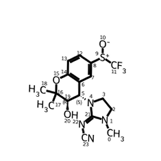 CN1CCN([C@H]2c3cc([S+]([O-])C(F)(F)F)ccc3OC(C)(C)[C@@H]2O)C1=NC#N